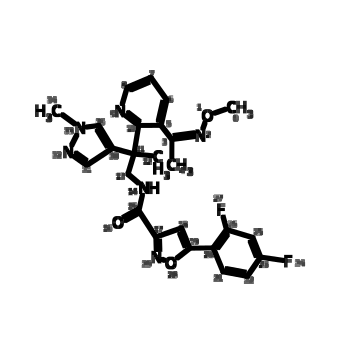 CO/N=C(/C)c1cccnc1C(C)(CNC(=O)c1cc(-c2ccc(F)cc2F)on1)c1cnn(C)c1